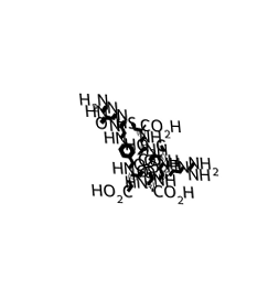 N=C(N)NCCC[C@H](NC(=O)[C@H](CC(=O)O)NC(=O)[C@H](CCC(=O)O)NC(=O)c1ccc(NCc2cnc3nc(N)[nH]c(=O)c3n2)cc1)C(=O)N[C@@H](CC(=O)O)C(=O)N[C@H](CN[C@@H](CS)C(=O)O)CC(=O)O